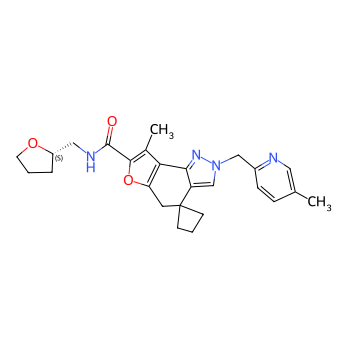 Cc1ccc(Cn2cc3c(n2)-c2c(oc(C(=O)NC[C@@H]4CCCO4)c2C)CC32CCC2)nc1